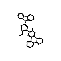 CCc1ccc(-n2c3ccccc3c3ccccc32)cc1-c1cc2c3ccccc3c3ccccc3c2cc1C